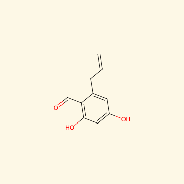 C=CCc1cc(O)cc(O)c1C=O